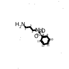 NCCCNS(=O)(=O)c1cc[c]cc1